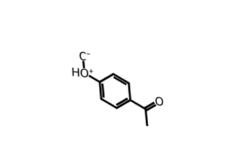 [CH2-][OH+]c1ccc(C(C)=O)cc1